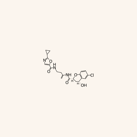 C=C(CCNC(=O)c1cnc(C2CC2)o1)NC(=O)[C@H]1C[C@@H](O)c2cc(Cl)ccc2O1